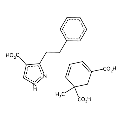 CC1(C(=O)O)C=CC=C(C(=O)O)C1.O=C(O)c1c[nH]nc1CCc1ccccc1